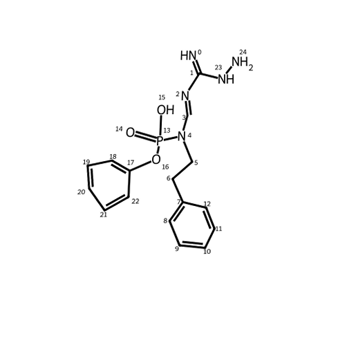 N=C(N=CN(CCc1ccccc1)P(=O)(O)Oc1ccccc1)NN